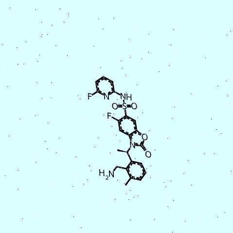 Cc1cccc([C@@H](C)n2c(=O)oc3cc(S(=O)(=O)Nc4cccc(F)n4)c(F)cc32)c1CN